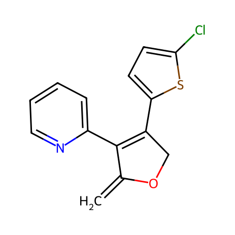 C=C1OCC(c2ccc(Cl)s2)=C1c1ccccn1